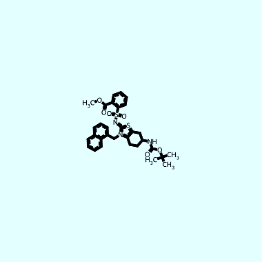 COC(=O)c1ccccc1S(=O)(=O)/N=c1\sc2c(n1Cc1cccc3ccccc13)CCC(NC(=O)OC(C)(C)C)C2